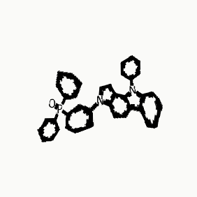 O=P(c1ccccc1)(c1ccccc1)c1cccc(-n2ccc3c2ccc2c4ccccc4n(-c4ccccc4)c23)c1